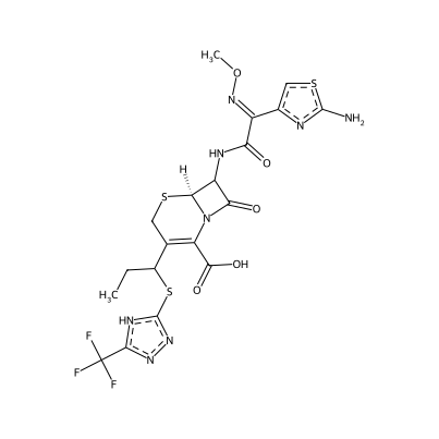 CCC(Sc1nnc(C(F)(F)F)[nH]1)C1=C(C(=O)O)N2C(=O)C(NC(=O)C(=NOC)c3csc(N)n3)[C@@H]2SC1